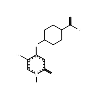 Cn1cc(Br)c(OC2CCC(C(N)=O)CC2)cc1=O